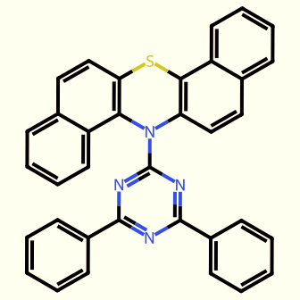 c1ccc(-c2nc(-c3ccccc3)nc(N3c4ccc5ccccc5c4Sc4ccc5ccccc5c43)n2)cc1